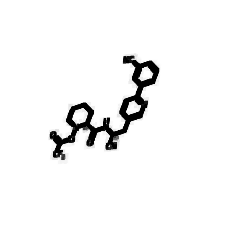 N#Cc1cccc(-c2ccc(C[C@@H](C#N)NC(=O)[C@@H]3CCCCN3OC(=O)C(F)(F)F)cn2)c1